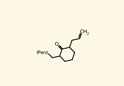 C=CCC1CCCC(CC(C)CCC)C1=O